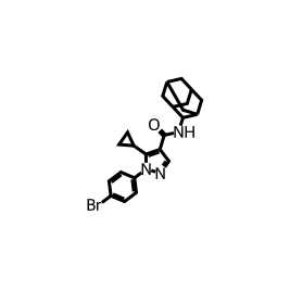 O=C(NC1C2CC3CC(C2)CC1C3)c1cnn(-c2ccc(Br)cc2)c1C1CC1